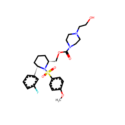 COc1ccc(S(=O)(=O)N2[C@@H](COC(=O)N3CCN(CCO)CC3)CCC[C@H]2c2cccc(F)c2)cc1